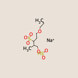 C=CCOCCC(C(C)CO[SH](=O)=O)S(=O)(=O)[O-].[Na+]